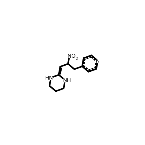 O=[N+]([O-])C(C=C1NCCCN1)Cc1ccncc1